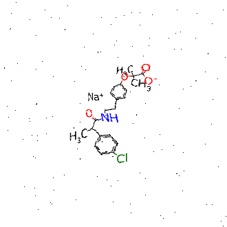 CC(C(=O)NCCc1ccc(OC(C)(C)C(=O)[O-])cc1)c1ccc(Cl)cc1.[Na+]